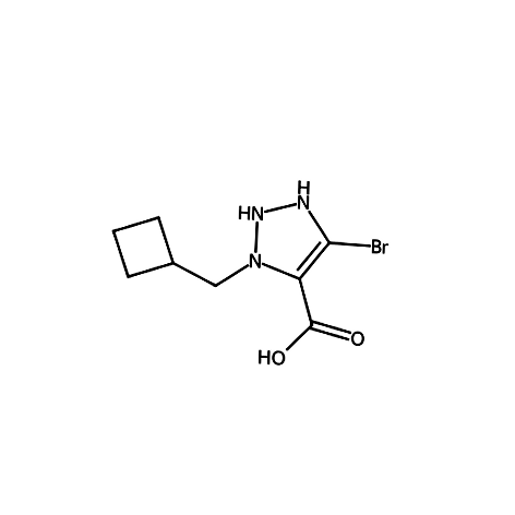 O=C(O)C1=C(Br)NNN1CC1CCC1